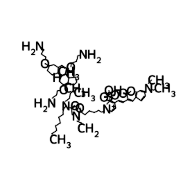 C=CCN(CC(=O)N(CCCCCCCC)CCCC(C)C1CC[C@H]2C3[C@H](OCCCN)CC4C[C@H](OCCCN)CC[C@]4(C)[C@H]3C[C@H](OCCCN)[C@]12C)C(=O)CCCCC[n+]1ccc(/C=C/c2cc3ccc(N(CC)CC)cc3oc2=O)c(S(=O)(=O)O)c1